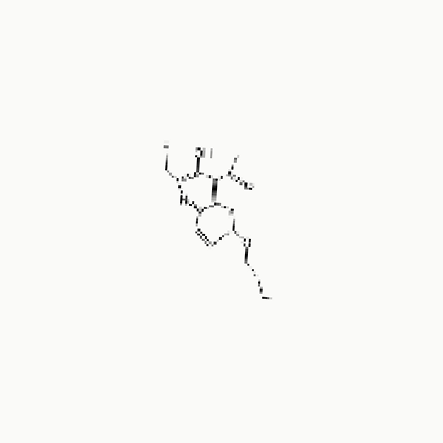 CCCCOc1ccc2nc(CF)c(O)c(C(C)=O)c2c1